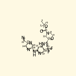 CC(C)(C)OC(=O)N1CCO[C@@H](CNc2cc(Nc3cnc(C#N)cn3)ncc2C(F)(F)F)C1